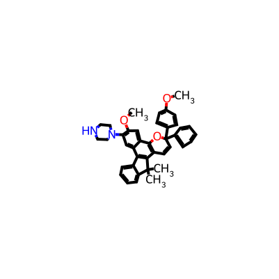 COc1ccc(C2(c3ccccc3)C=Cc3c4c(c5cc(N6CCNCC6)c(OC)cc5c3O2)-c2ccccc2C4(C)C)cc1